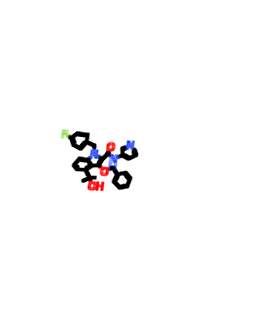 CC(C)(O)c1cccc2c1c(OCc1ccccc1)c(C(=O)Nc1cccnc1)n2Cc1ccc(F)cc1